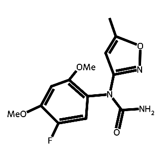 COc1cc(OC)c(N(C(N)=O)c2cc(C)on2)cc1F